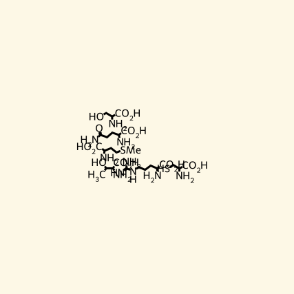 CC(O)C(N)C(=O)O.CSCCC(N)C(=O)O.N=C(N)NCCCC(N)C(=O)O.NC(=O)CCC(N)C(=O)O.NC(CO)C(=O)O.NC(CS)C(=O)O